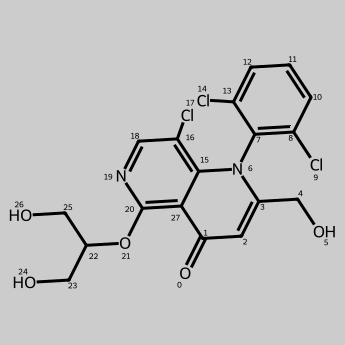 O=c1cc(CO)n(-c2c(Cl)cccc2Cl)c2c(Cl)cnc(OC(CO)CO)c12